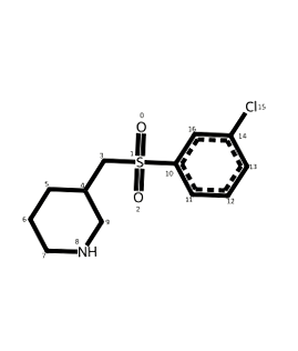 O=S(=O)(CC1CCCNC1)c1cccc(Cl)c1